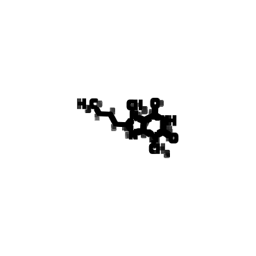 CCCCc1nc2c(c(=O)[nH]c(=O)n2C)n1C